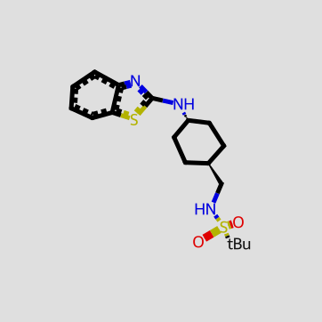 CC(C)(C)S(=O)(=O)NC[C@H]1CC[C@H](Nc2nc3ccccc3s2)CC1